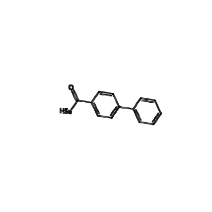 O=C([SeH])c1ccc(-c2ccccc2)cc1